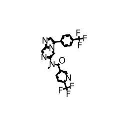 CN(C(=O)c1ccc(C(F)(F)F)nc1)c1cn2c(-c3ccc(C(F)(F)F)cc3)cnc2cn1